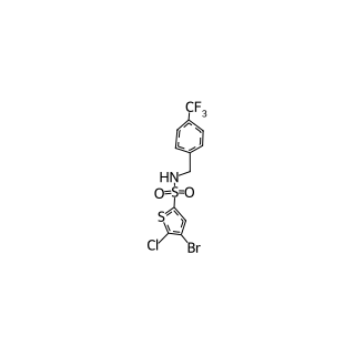 O=S(=O)(NCc1ccc(C(F)(F)F)cc1)c1cc(Br)c(Cl)s1